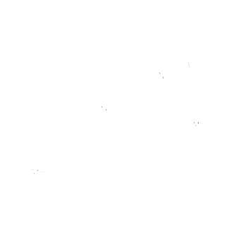 COc1ccc(CN(Cc2ccc(OC)cc2)c2cc(NC(=O)O)ccc2F)cc1